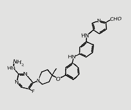 CC1(Oc2cccc(Nc3cccc(Nc4ccc(C=O)nc4)c3)c2)CCN(c2nc(NN)ncc2F)CC1